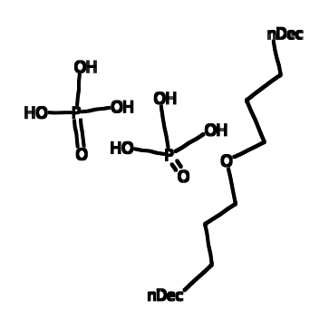 CCCCCCCCCCCCCOCCCCCCCCCCCCC.O=P(O)(O)O.O=P(O)(O)O